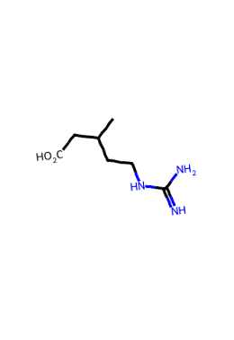 CC(CCNC(=N)N)CC(=O)O